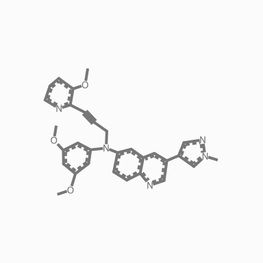 COc1cc(OC)cc(N(CC#Cc2ncccc2OC)c2ccc3ncc(-c4cnn(C)c4)cc3c2)c1